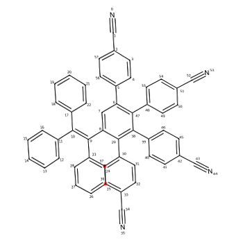 N#Cc1ccc(-c2cc(C(=C(c3ccccc3)c3ccccc3)c3ccccc3)c(-c3ccc(C#N)cc3)c(-c3ccc(C#N)cc3)c2-c2ccc(C#N)cc2)cc1